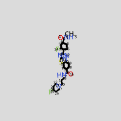 CNC(=O)c1ccc(-c2nc3sc4cc(C(=O)NCCCN5CCC(F)CC5)ccc4n3n2)c(F)c1